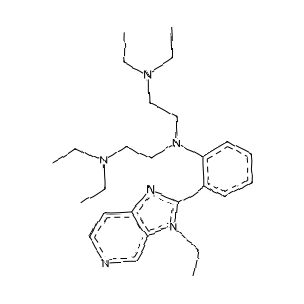 CCN(CC)CCN(CCN(CC)CC)c1ccccc1-c1nc2ccncc2n1CC